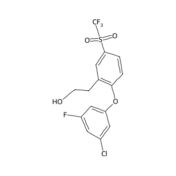 O=S(=O)(c1ccc(Oc2cc(F)cc(Cl)c2)c(CCO)c1)C(F)(F)F